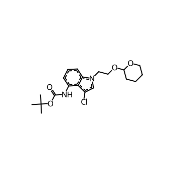 CC(C)(C)OC(=O)Nc1cccc2c1c(Cl)cn2CCOC1CCCCO1